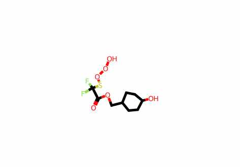 O=C(OCC1CCC(O)CC1)C(F)(F)SOOO